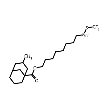 CC1CC2CCCC(C(=O)OCCCCCCCCNSC(F)(F)F)(C1)C2